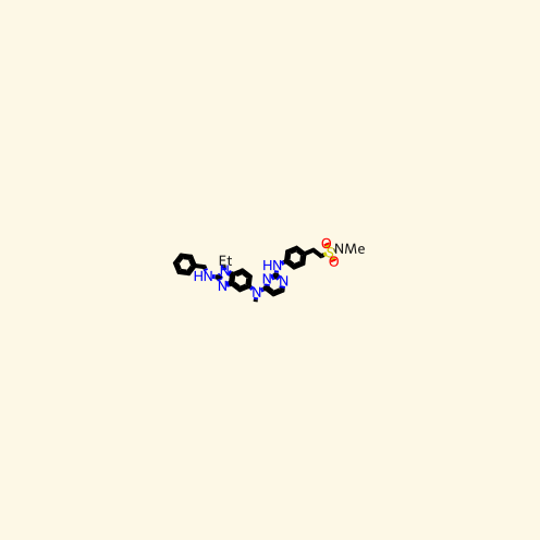 CCn1c(NCc2ccccc2)nc2cc(N(C)c3ccnc(Nc4ccc(CCS(=O)(=O)NC)cc4)n3)ccc21